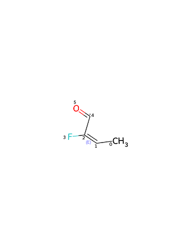 C/C=C(/F)[C]=O